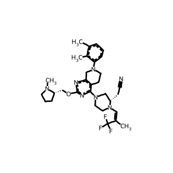 CC(=CN1CCN(c2nc(OC[C@@H]3CCCN3C)nc3c2CCN(c2cccc(C)c2C)C3)C[C@@H]1CC#N)C(F)(F)F